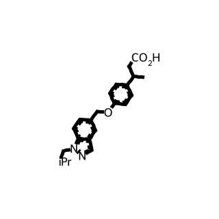 CC(C)Cn1ncc2cc(COc3ccc(C(C)CC(=O)O)cc3)ccc21